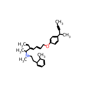 C=C/C(=C\C=C\COc1ccc(C(C)C#CC)cc1)C(C)N(C)CCC1C=CC=CC1C